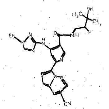 CCn1cnc(Nc2cc(-c3ccc4cc(C#N)cnn34)ncc2C(=O)NCC(F)C(C)(C)O)n1